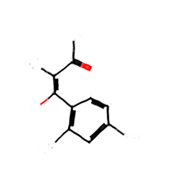 CC(C)(C)C(=O)C(C#N)=C(O)c1ccc(C(C)(C)C)cc1[N+](=O)[O-]